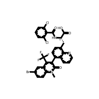 Cn1c(=O)c(-c2ccc(C[C@H](NC(=O)c3c(Cl)cccc3Cl)C(=O)O)c3ncccc23)c(C(F)(F)F)c2cc(Br)ccc21